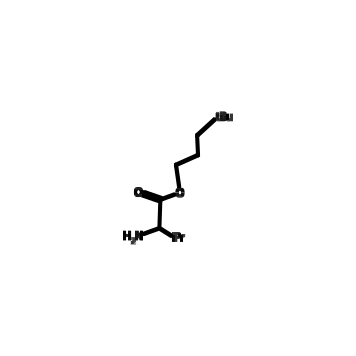 CC(C)C(N)C(=O)OCCCC(C)(C)C